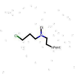 CCCCCCCN(CC)CCCCl